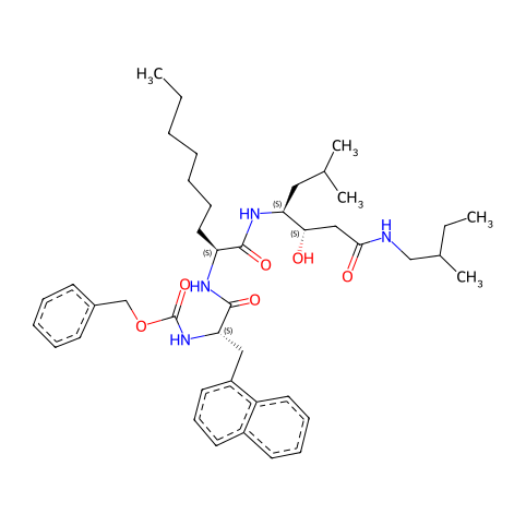 CCCCCCC[C@H](NC(=O)[C@H](Cc1cccc2ccccc12)NC(=O)OCc1ccccc1)C(=O)N[C@@H](CC(C)C)[C@@H](O)CC(=O)NCC(C)CC